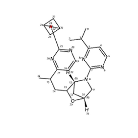 CC(C)c1ccnc(N2C[C@H]3C[C@@H]2C(CC(C)c2ccnc(N4CC5CC4C5)n2)O3)n1